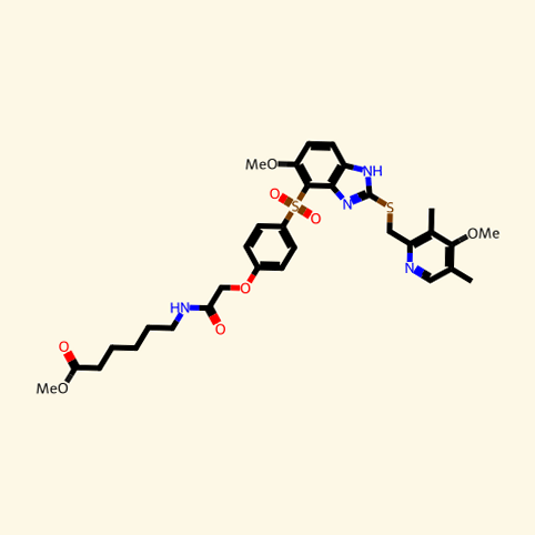 COC(=O)CCCCCNC(=O)COc1ccc(S(=O)(=O)c2c(OC)ccc3[nH]c(SCc4ncc(C)c(OC)c4C)nc23)cc1